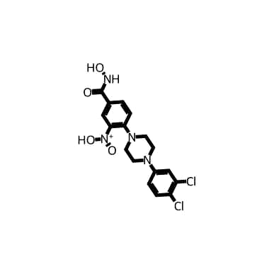 O=C(NO)c1ccc(N2CCN(c3ccc(Cl)c(Cl)c3)CC2)c([N+](=O)O)c1